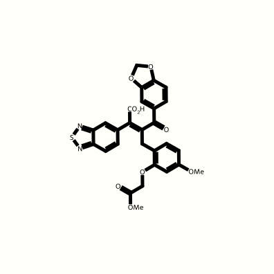 COC(=O)COc1cc(OC)ccc1CC(C(=O)c1ccc2c(c1)OCO2)=C(C(=O)O)c1ccc2nsnc2c1